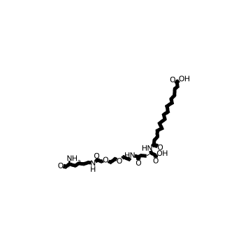 N[C@H](C=O)CCCCNC(=O)COCCOCCNC(=O)CC[C@H](NC(=O)CCCCCCCCCCCCCCC(=O)O)C(=O)O